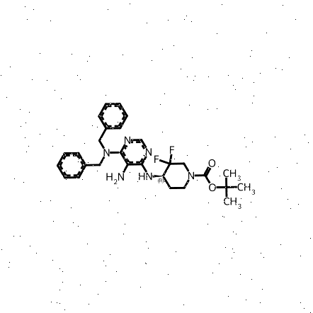 CC(C)(C)OC(=O)N1CC[C@@H](Nc2ncnc(N(Cc3ccccc3)Cc3ccccc3)c2N)C(F)(F)C1